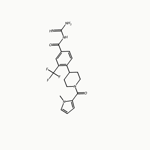 Cn1cccc1C(=O)N1CCC(c2ccc(C(=O)NC(=N)N)cc2C(F)(F)F)CC1